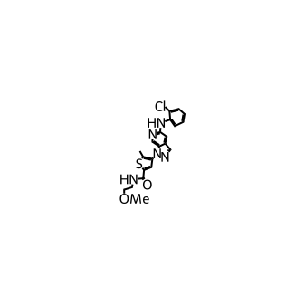 COCCNC(=O)c1cc(-n2ncc3cc(Nc4ccccc4Cl)ncc32)c(C)s1